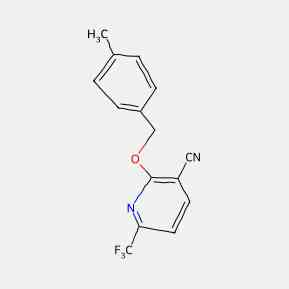 Cc1ccc(COc2nc(C(F)(F)F)ccc2C#N)cc1